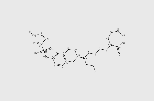 CCCN(CCCCN1CCNCCC1=O)C1CCc2cc(OS(=O)(=O)c3cn(C)cn3)ccc2C1